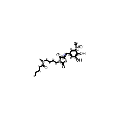 CCCCC(=O)N(C)CCCCN1C(=O)S/C(=C\c2cc(O)c(O)c([N+](=O)[O-])c2)C1=O